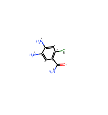 NC(=O)c1cc(N)c(N)cc1Cl